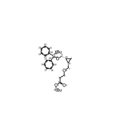 CC(C)(C)OC(=O)CCOC[C@@H]1C[C@H]1CO[Si](c1ccccc1)(c1ccccc1)C(C)(C)C